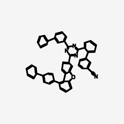 N#Cc1cccc(-c2ccccc2-c2nc(-c3cccc(-c4ccccc4)c3)nc(-c3ccc4c(c3)oc3cccc(-c5ccc(-c6ccccc6)cc5)c34)n2)c1